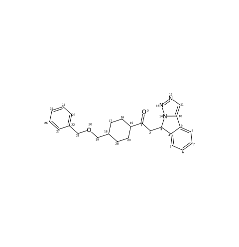 O=C(CC1c2ccccc2-c2cnnn21)C1CCC(COCc2ccccc2)CC1